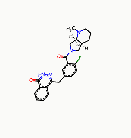 CN1CCC[C@H]2CN(C(=O)c3cc(Cc4n[nH]c(=O)c5ccccc45)ccc3F)C[C@H]21